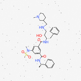 C[C@@H](NC(=O)c1cc(C(=O)N[C@@H](Cc2ccccc2)[C@H](O)CNCC2CCCN(C)C2)cc(N(C)S(C)(=O)=O)c1)c1ccccc1